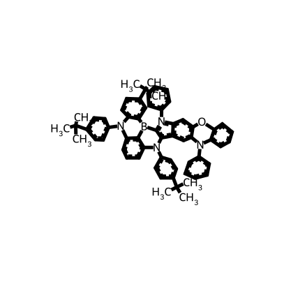 CC(C)(C)c1ccc(N2c3ccc(C(C)(C)C)cc3B3c4c2cccc4N(c2ccc(C(C)(C)C)cc2)c2c3n(-c3ccccc3)c3cc4c(cc23)N(c2ccccc2)c2ccccc2O4)cc1